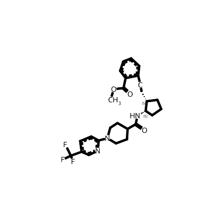 COC(=O)c1ccccc1CC[C@@H]1CCC[C@@H]1NC(=O)C1CCN(c2ccc(C(F)(F)F)cn2)CC1